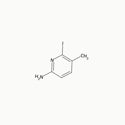 Cc1ccc(N)nc1I